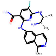 CC[C@@H](Nc1nc(Nc2ccc3c(OC)nccc3c2)c(C(N)=O)cc1F)[C@H](C)N